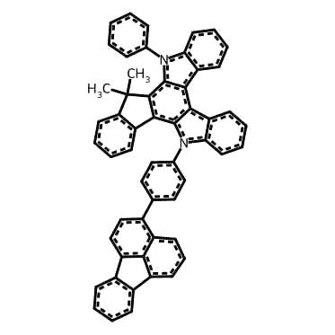 CC1(C)c2ccccc2-c2c1c1c(c3ccccc3n1-c1ccccc1)c1c3ccccc3n(-c3ccc(-c4ccc5c6c(cccc46)-c4ccccc4-5)cc3)c21